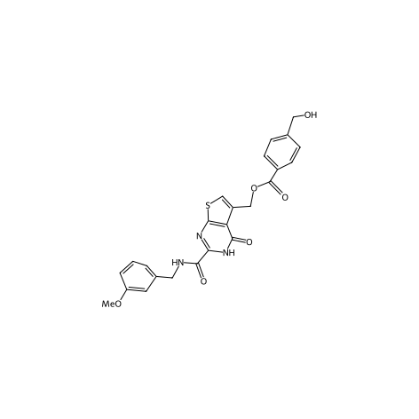 COc1cccc(CNC(=O)c2nc3scc(COC(=O)c4ccc(CO)cc4)c3c(=O)[nH]2)c1